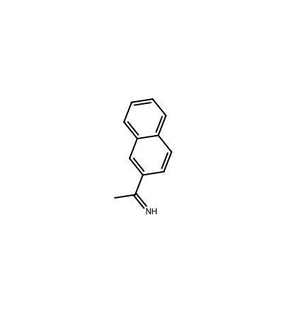 CC(=N)c1ccc2ccccc2c1